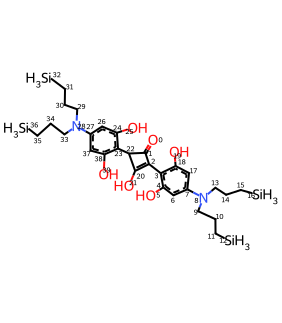 O=C1C(c2c(O)cc(N(CCC[SiH3])CCC[SiH3])cc2O)=C(O)C1c1c(O)cc(N(CCC[SiH3])CCC[SiH3])cc1O